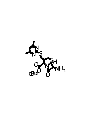 Cc1cc(C)nc(SCC2=C(C(=O)OC(C)(C)C)N3C(=O)C(N)[C@@H]3SC2)n1